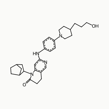 O=C1CCc2cnc(Nc3ccc(N4CCC(CCCO)CC4)cc3)cc2N1C1CC2CCC1C2